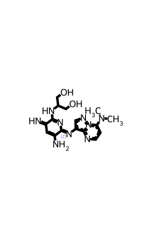 CN(C)c1ccnc2c(/N=C3\N=C(NC(CO)CO)C(=N)C=C3N)cnn12